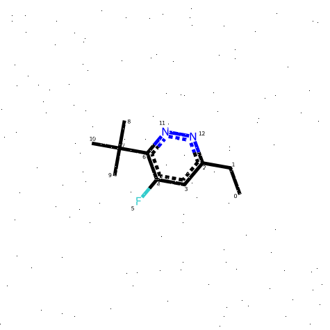 CCc1cc(F)c(C(C)(C)C)nn1